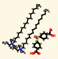 CCCCCCCCCCCCCCCC[N+](C)(C)CC.CCCCCCCCCCCCCCCC[N+](C)(C)CC.O=C(O)c1ccc([S+]([O-])c2ccc(C(=O)O)cc2)cc1